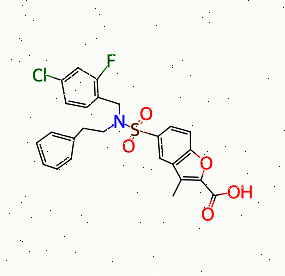 Cc1c(C(=O)O)oc2ccc(S(=O)(=O)N(CCc3ccccc3)Cc3ccc(Cl)cc3F)cc12